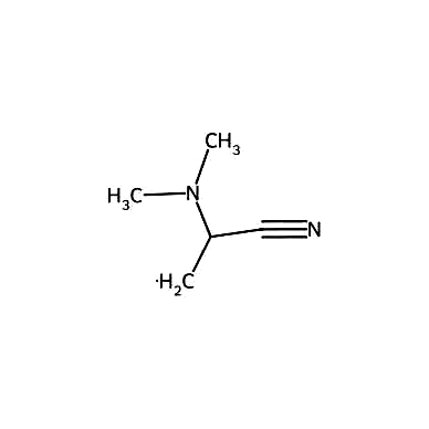 [CH2]C(C#N)N(C)C